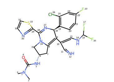 CN(C)C(=O)N[C@H]1CC2=C(/C(C=N)=C/NC(F)F)[C@H](c3ccc(F)cc3Cl)N=C(c3nccs3)N2C1